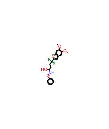 COc1cc2cc(C(F)(F)CCC(O)NOc3ccccc3)sc2cc1OC